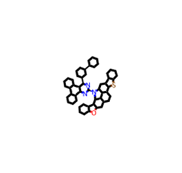 c1ccc(-c2cccc(-c3nc(-n4c5cc6c7ccccc7sc6c6ccc7cc8oc9ccccc9c8c4c7c65)nc4c5ccccc5c5ccccc5c34)c2)cc1